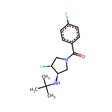 CC(C)(C)N[C@@H]1CN(C(=O)c2ccc(F)cc2)C[C@@H]1F